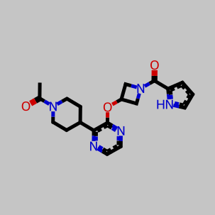 CC(=O)N1CCC(c2nccnc2OC2CN(C(=O)c3ccc[nH]3)C2)CC1